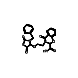 CCCC(=O)C1Oc2ccccc2C(=O)N1CCOC1C(=O)SC(=O)N1Cc1ccccc1